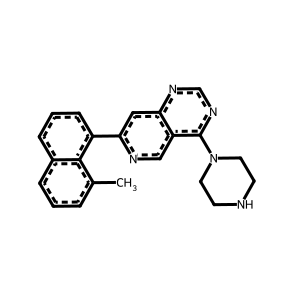 Cc1cccc2cccc(-c3cc4ncnc(N5CCNCC5)c4cn3)c12